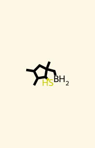 BCC1(C)CC(C)C(C)C1S